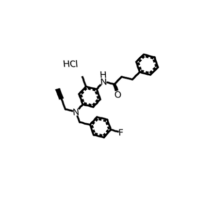 C#CCN(Cc1ccc(F)cc1)c1ccc(NC(=O)CCc2ccccc2)c(C)c1.Cl